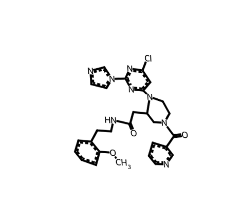 COc1ccccc1CCNC(=O)CC1CN(C(=O)c2cccnc2)CCN1c1cc(Cl)nc(-n2ccnc2)n1